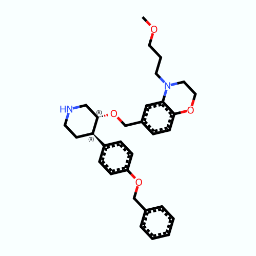 COCCCN1CCOc2ccc(CO[C@H]3CNCC[C@@H]3c3ccc(OCc4ccccc4)cc3)cc21